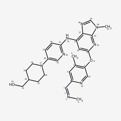 C/N=C\c1cc(C)c(Oc2cc(Nc3ccc(N4CCC(CO)CC4)cn3)c3ncn(C)c3n2)cn1